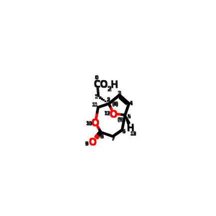 O=C(O)C[C@@]12C=C[C@H](CCC(=O)OC1)O2